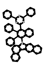 c1ccc(-c2nc(-c3ccccc3)nc(-c3c(-c4ccccc4)c(-c4ccccc4)c(-n4c5cc6ccccc6cc5c5c6ccccc6ccc54)c4ccccc34)n2)cc1